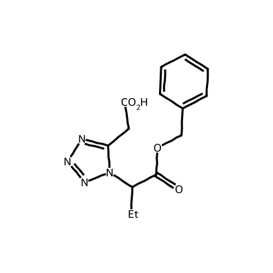 CCC(C(=O)OCc1ccccc1)n1nnnc1CC(=O)O